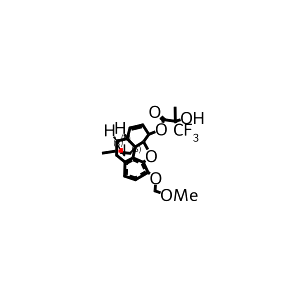 COCOc1ccc2c3c1OC1C(OC(=O)C(C)(O)C(F)(F)F)C=C[C@H]4[C@@H](C2)N(C)CC[C@]314